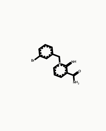 N=c1c(C(N)=O)cccn1Cc1cccc(Br)c1